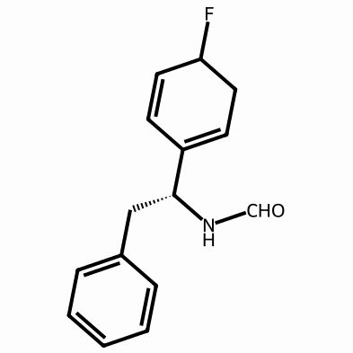 O=CN[C@H](Cc1ccccc1)C1=CCC(F)C=C1